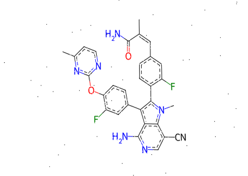 CC(=Cc1ccc(-c2c(-c3ccc(Oc4nccc(C)n4)c(F)c3)c3c(N)ncc(C#N)c3n2C)c(F)c1)C(N)=O